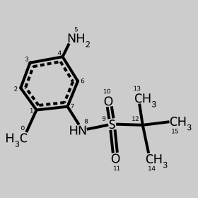 Cc1ccc(N)cc1NS(=O)(=O)C(C)(C)C